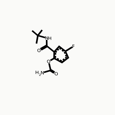 CC(C)(C)NC(=O)c1cc(F)ccc1OC(N)=O